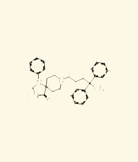 N#CC(CCCN1CCC2(CC1)C(=O)NCN2c1ccccc1)(c1ccccc1)c1ccccc1